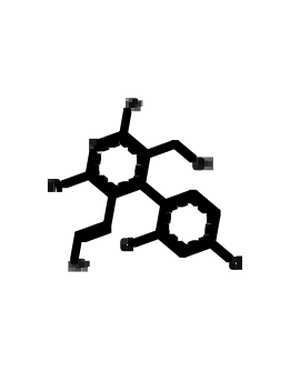 CCC/C=C/c1c(C(C)C)nc(C(C)C)c(CO)c1-c1ccc(Cl)cc1Cl